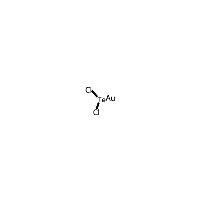 Cl[Te]Cl.[Au]